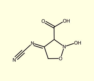 N#CN=C1CON(O)C1C(=O)O